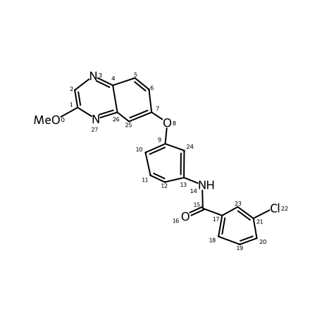 COc1cnc2ccc(Oc3cccc(NC(=O)c4cccc(Cl)c4)c3)cc2n1